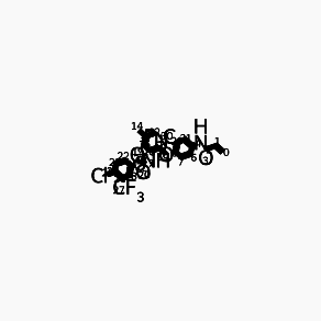 C=CC(=O)Nc1ccc(Oc2ncc(C)cc2NS(=O)(=O)c2ccc(Cl)c(C(F)(F)F)c2)c(C(F)(F)F)c1